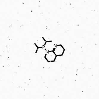 CC(C)P(C(C)C)N1CCCC2CCCN=C21